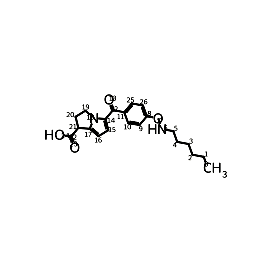 CCCCCCNOc1ccc(C(=O)c2ccc3n2CCC3C(=O)O)cc1